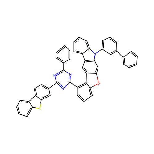 c1ccc(-c2cccc(-n3c4ccccc4c4cc5c(cc43)oc3cccc(-c4nc(-c6ccccc6)nc(-c6ccc7c(c6)sc6ccccc67)n4)c35)c2)cc1